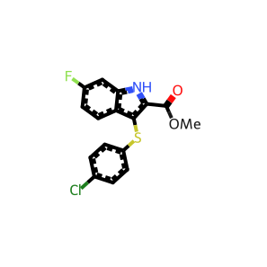 COC(=O)c1[nH]c2cc(F)ccc2c1Sc1ccc(Cl)cc1